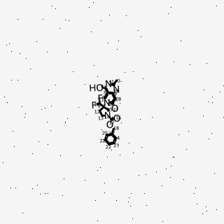 Cc1nc(O)c2cn(C3(C(F)F)CCN(C(=O)OCc4ccccc4)C3)c(=O)cc2n1